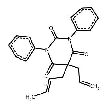 C=CCC1(C/C=C/C)C(=O)N(c2ccccc2)C(=O)N(c2ccccc2)C1=O